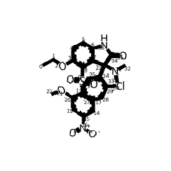 CCOc1ccc2c(c1S(=O)(=O)c1ccc([N+](=O)[O-])cc1OC)C(c1ccccc1Cl)(N(C)C)C(=O)N2